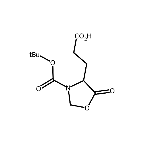 CC(C)(C)OC(=O)N1COC(=O)C1CCC(=O)O